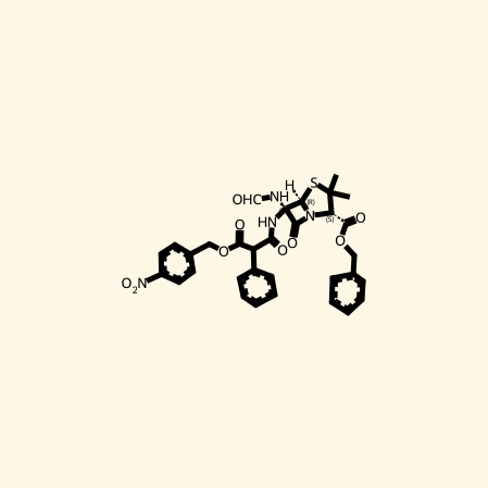 CC1(C)S[C@H]2N(C(=O)[C@@]2(NC=O)NC(=O)C(C(=O)OCc2ccc([N+](=O)[O-])cc2)c2ccccc2)[C@H]1C(=O)OCc1ccccc1